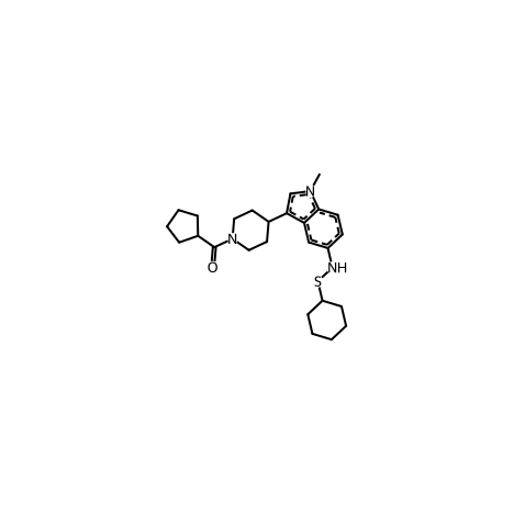 Cn1cc(C2CCN(C(=O)C3CCCC3)CC2)c2cc(NSC3CCCCC3)ccc21